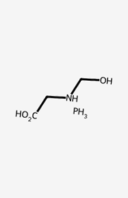 O=C(O)CNCO.P